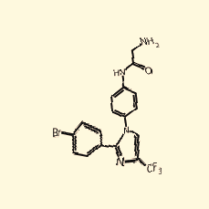 NCC(=O)Nc1ccc(-n2cc(C(F)(F)F)nc2-c2ccc(Br)cc2)cc1